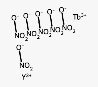 O=[N+]([O-])[O-].O=[N+]([O-])[O-].O=[N+]([O-])[O-].O=[N+]([O-])[O-].O=[N+]([O-])[O-].O=[N+]([O-])[O-].[Tb+3].[Y+3]